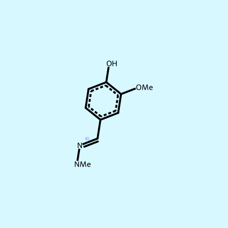 CN/N=C/c1ccc(O)c(OC)c1